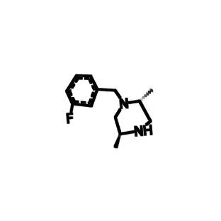 C[C@@H]1CN[C@@H](C)CN1Cc1cccc(F)c1